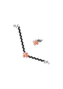 CCCCCCCCCCCCCCCCCCOS(=O)(=O)OCCCCCCCCCCCC.O=S(=O)([O-])[O-].[Na+].[Na+]